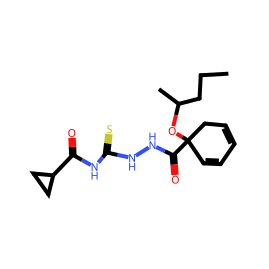 CCCC(C)OC1(C(=O)NNC(=S)NC(=O)C2CC2)C=CC=CC1